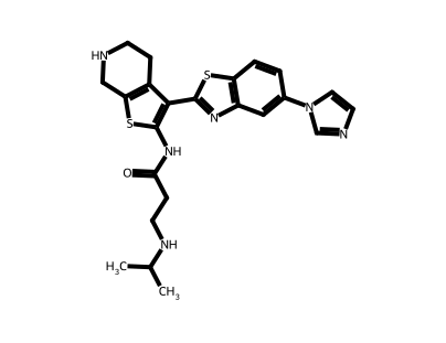 CC(C)NCCC(=O)Nc1sc2c(c1-c1nc3cc(-n4ccnc4)ccc3s1)CCNC2